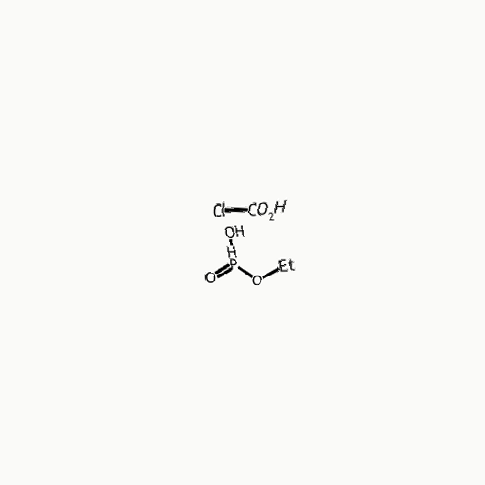 CCO[PH](=O)O.O=C(O)Cl